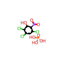 O=I(=O)c1c(Cl)cc(Cl)c(Cl)c1O.O=P(O)(O)O